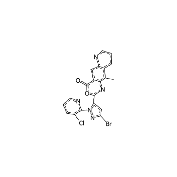 Cc1c2cccnc2cc2c(=O)oc(-c3cc(Br)nn3-c3ncccc3Cl)nc12